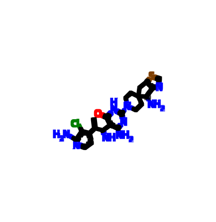 C=C(C(=N)c1c(N)nc(N2CCC3(CC2)Cc2scnc2[C@H]3N)[nH]c1=O)c1ccnc(N)c1Cl